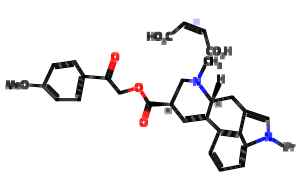 COc1ccc(C(=O)COC(=O)[C@@H]2C=C3c4cccc5c4c(cn5C(C)C)C[C@H]3N(C)C2)cc1.O=C(O)/C=C\C(=O)O